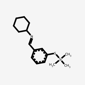 C[Si](C)(C)Sc1cccc(C=NC2CCCCC2)c1